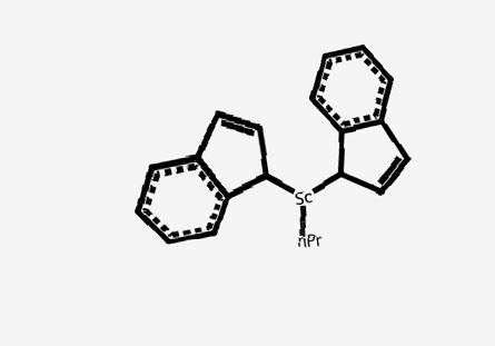 [CH2]C[CH2][Sc]([CH]1C=Cc2ccccc21)[CH]1C=Cc2ccccc21